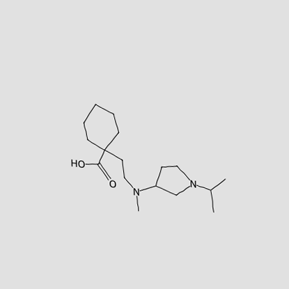 CC(C)N1CCC(N(C)CCC2(C(=O)O)CCCCC2)C1